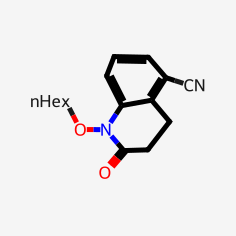 CCCCCCON1C(=O)CCc2c(C#N)cccc21